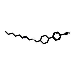 CCCCC/C=C/COCC1CCC(c2ccc(C#N)cc2)CC1